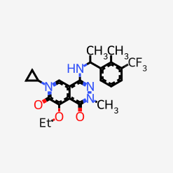 CCOc1c(=O)n(C2CC2)cc2c(NC(C)c3cccc(C(F)(F)F)c3C)nn(C)c(=O)c12